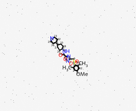 COc1cc(C)c(S(=O)(=O)Cc2noc(C(=O)NC3CCC(c4ccncc4)CC3)n2)c(C)c1